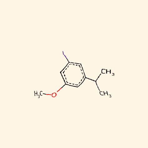 COc1cc(I)cc(C(C)C)c1